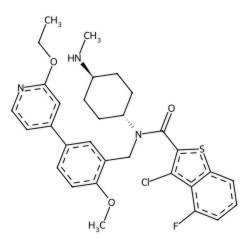 CCOc1cc(-c2ccc(OC)c(CN(C(=O)c3sc4cccc(F)c4c3Cl)[C@H]3CC[C@H](NC)CC3)c2)ccn1